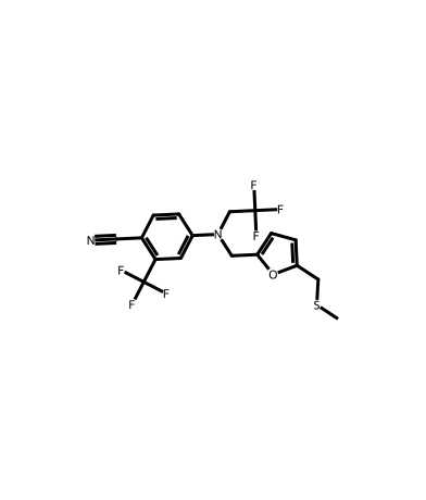 CSCc1ccc(CN(CC(F)(F)F)c2ccc(C#N)c(C(F)(F)F)c2)o1